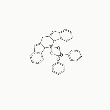 O=C([O][Ti]1([O]C(=O)c2ccccc2)[CH]2C(=Cc3ccccc32)CC2=Cc3ccccc3[CH]21)c1ccccc1